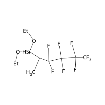 CCO[SiH](OCC)C(C)C(F)(F)C(F)(F)C(F)(F)C(F)(F)F